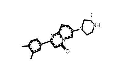 Cc1ccc(-c2cc(=O)n3cc(N4CCN[C@@H](C)C4)ccc3n2)cc1C